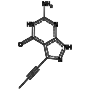 CC#Cc1n[nH]c2nc(N)[nH]c(=O)c12